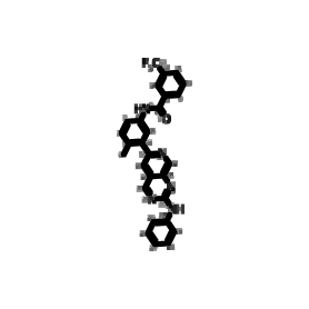 Cc1ccc(NC(=O)c2cccc(C(F)(F)F)c2)cc1-c1cc2cnc(Nc3ccccc3)nc2cn1